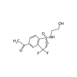 CC(=O)c1ccc(S(=O)(=O)NCCO)c(C(F)(F)F)c1